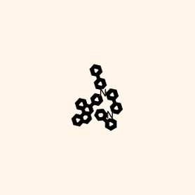 C1=Cc2c(c3ccccc3n2-c2cccc(-c3cccc(N(c4ccc(-c5ccccc5)cc4)c4ccc(-c5cc6ccc7ccccc7c6c6ccccc56)cc4)c3)c2)CC1